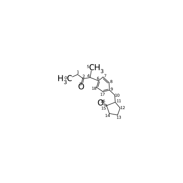 CCC(=O)C(C)c1ccc(CC2CCCC2=O)cc1